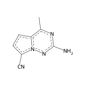 Cc1nc(N)nn2c(C#N)ccc12